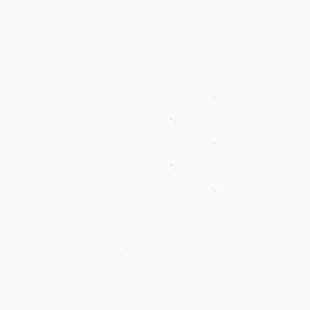 Cc1cc(Cl)nc(NC(=N)N(C)c2ccc(Cl)c(Cl)c2)n1